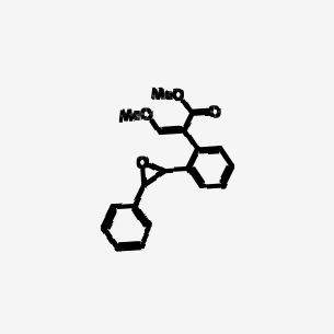 CO/C=C(\C(=O)OC)c1ccccc1C1OC1c1ccccc1